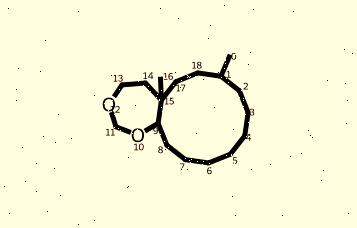 CC1CCCCCCCC2OCOCCC2(C)CC1